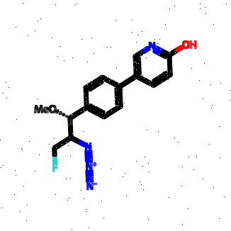 CO[C@H](c1ccc(-c2ccc(O)nc2)cc1)C(CF)N=[N+]=[N-]